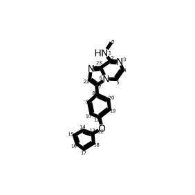 CNc1nccn2c(-c3ccc(Oc4ccccc4)cc3)cnc12